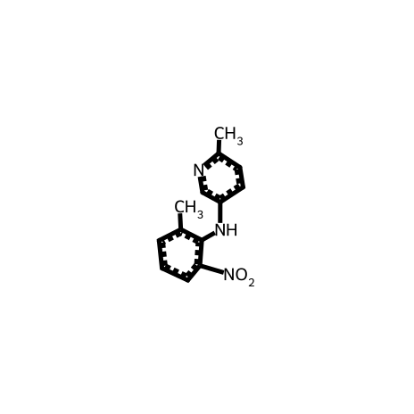 Cc1ccc(Nc2c(C)cccc2[N+](=O)[O-])cn1